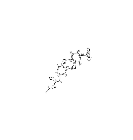 CCOC(=O)Cc1ccc(Oc2ccc([N+](=O)[O-])cc2)c(Cl)c1